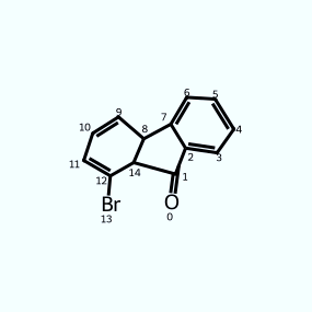 O=C1c2ccccc2C2C=CC=C(Br)C12